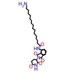 NCCCCCCCCCCCCCCCCC(=O)Nc1cccc2c1C(=O)N(C1CCC(=O)NC1=O)C2=O